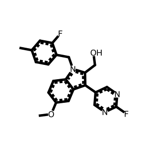 COc1ccc2c(c1)c(-c1cnc(F)nc1)c(CO)n2Cc1ccc(C)cc1F